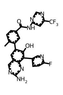 Cc1ccc(C(=O)Nc2cc(C(F)(F)F)ncn2)cc1-c1cc2cnc(N)nc2c(-c2ccc(F)nc2)c1O